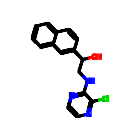 OC(CNc1nccnc1Cl)c1ccc2ccccc2c1